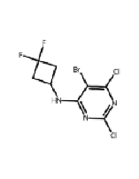 FC1(F)CC(Nc2nc(Cl)nc(Cl)c2Br)C1